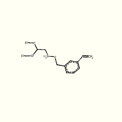 C=Cc1cccc(CO[SiH2]CC(OCC)OCC)c1